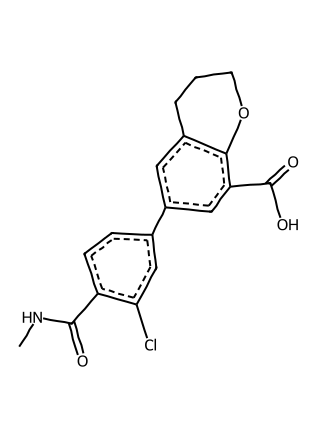 CNC(=O)c1ccc(-c2cc3c(c(C(=O)O)c2)OCCC3)cc1Cl